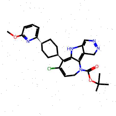 COc1cccc([C@H]2CC[C@H](C3=c4[nH]c5c(c4N(C(=O)OC(C)(C)C)CC=C3Cl)CN=NC=5)CC2)n1